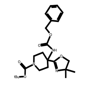 CC1(C)COC(C2(NC(=O)OCc3ccccc3)CCN(C(=O)OC(C)(C)C)CC2)=N1